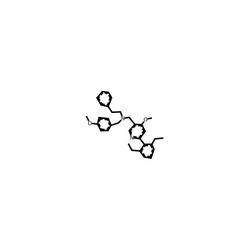 CCc1cccc(CC)c1-c1cc(OC)c(CN(CCc2ccccc2)Cc2ccc(OC)cc2)cn1